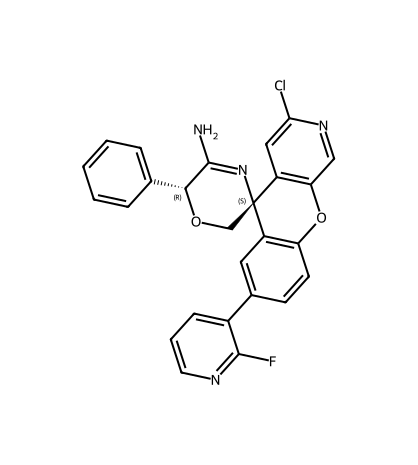 NC1=N[C@@]2(CO[C@@H]1c1ccccc1)c1cc(-c3cccnc3F)ccc1Oc1cnc(Cl)cc12